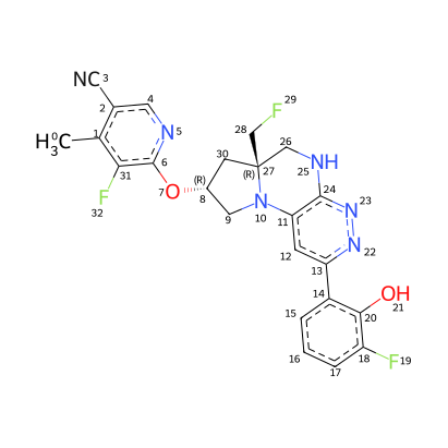 Cc1c(C#N)cnc(O[C@H]2CN3c4cc(-c5cccc(F)c5O)nnc4NC[C@@]3(CF)C2)c1F